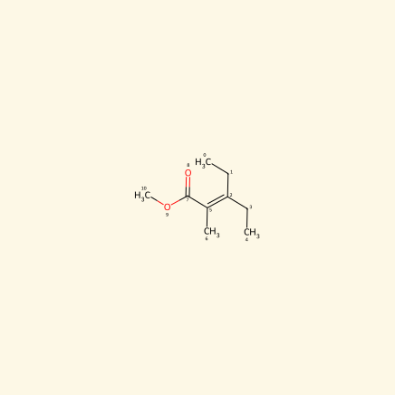 CCC(CC)=C(C)C(=O)OC